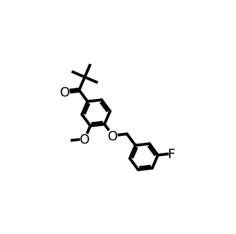 COc1cc(C(=O)C(C)(C)C)ccc1OCc1cccc(F)c1